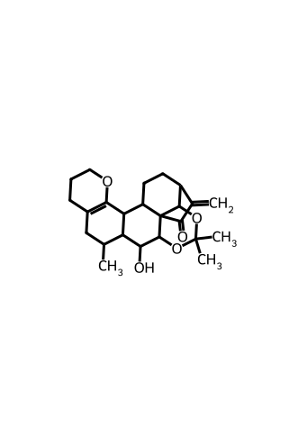 C=C1C(=O)C23C4CCC1C2OC(C)(C)OC3C(O)C1C(C)CC2=C(OCCC2)C14